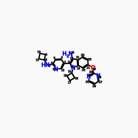 Nc1c(-c2ccc(NC3CCC3)nc2)n(C2CCC2)c2cc(Oc3ncccn3)ccc12